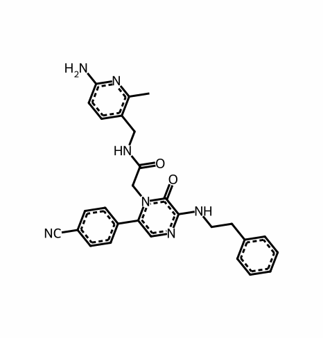 Cc1nc(N)ccc1CNC(=O)Cn1c(-c2ccc(C#N)cc2)cnc(NCCc2ccccc2)c1=O